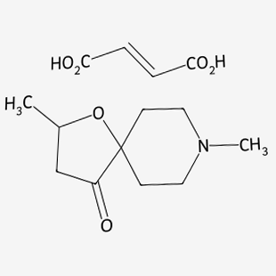 CC1CC(=O)C2(CCN(C)CC2)O1.O=C(O)C=CC(=O)O